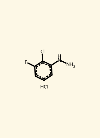 Cl.NNc1cccc(F)c1Cl